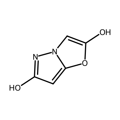 Oc1cc2oc(O)cn2n1